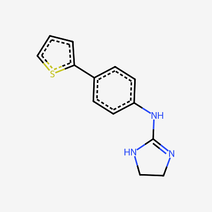 c1csc(-c2ccc(NC3=NCCN3)cc2)c1